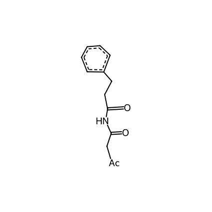 CC(=O)CC(=O)NC(=O)CCc1ccccc1